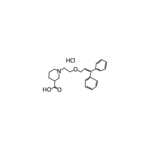 Cl.O=C(O)C1CCCN(CCOCC=C(c2ccccc2)c2ccccc2)C1